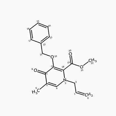 C=CCn1cc(C)c(=O)c(OCc2ccccc2)c1C(=O)OC